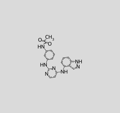 CS(=O)(=O)Nc1cccc(Nc2nccc(Nc3cccc4[nH]ncc34)n2)c1